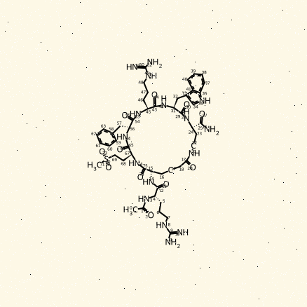 CC(=O)N[C@@H](CCCNC(=N)N)C(=O)N[C@H]1CCCC(=O)NCC[C@@H](C(N)=O)NC(=O)[C@H](Cc2c[nH]c3ccccc23)NC(=O)[C@H](CCCNC(=N)N)NC(=O)[C@@H](Cc2ccccc2)NC(=O)[C@H](CCS(C)(=O)=O)NC1=O